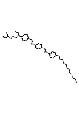 C=CC(=O)OCCN(CC)c1ccc(N=Nc2ccc(N=Nc3ccc(CCCCCCCCCCCC)cc3)cc2)cc1